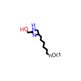 CCCCCCCCCCCCCCC1CNC(CO)=N1